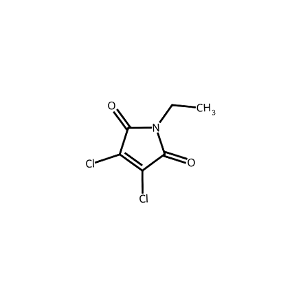 CCN1C(=O)C(Cl)=C(Cl)C1=O